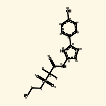 CC(C)CCS(=O)(=O)C(C)(C)C(=O)Nc1nnc(-c2ccc(O)cc2)[nH]1